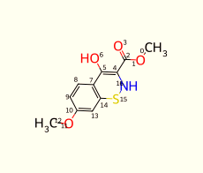 COC(=O)C1=C(O)c2ccc(OC)cc2SN1